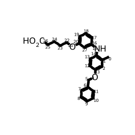 Cc1cc(OCc2ccccc2)ccc1Nc1cccc(OCCCCC(=O)O)c1